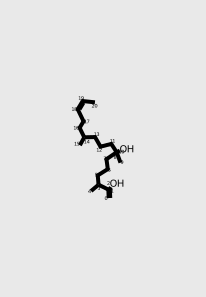 C=C(O)C(C)CCCC(C)(O)CCCC(C)CC/C=C\C